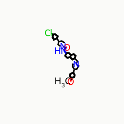 COc1ccc(C2CCN(Cc3ccc4cc(NC(=O)N5CCC(c6ccc(Cl)cc6)CC5)ccc4c3)CC2)cc1